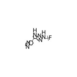 CC(C)(F)CNc1ncc2c(-c3ccc4nccn4c3)c[nH]c2n1